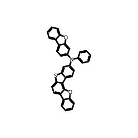 c1ccc(N(c2ccc3c(c2)oc2ccccc23)c2ccc3c(c2)sc2ccc4c5ccccc5oc4c23)cc1